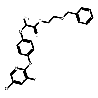 CC(Oc1ccc(Oc2ncc(Cl)cc2Cl)cc1)C(=O)OCCOCc1ccccc1